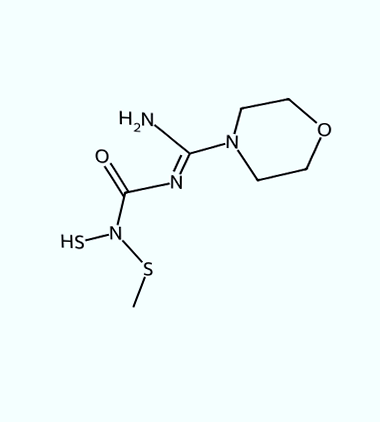 CSN(S)C(=O)N=C(N)N1CCOCC1